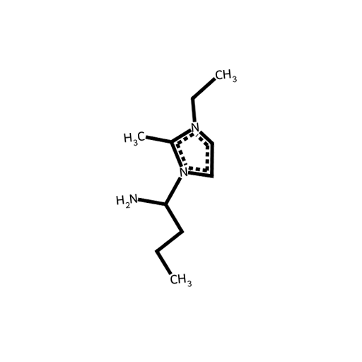 CCCC(N)[n+]1ccn(CC)c1C